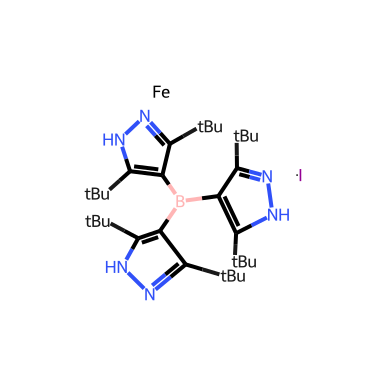 CC(C)(C)c1n[nH]c(C(C)(C)C)c1B(c1c(C(C)(C)C)n[nH]c1C(C)(C)C)c1c(C(C)(C)C)n[nH]c1C(C)(C)C.[Fe].[I]